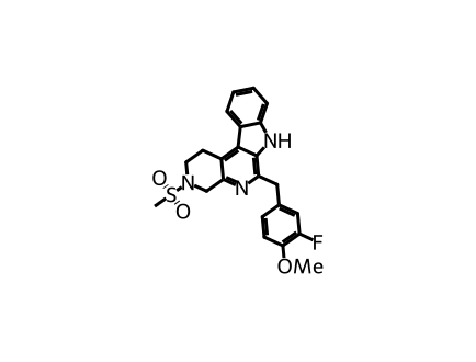 COc1ccc(Cc2nc3c(c4c2[nH]c2ccccc24)CCN(S(C)(=O)=O)C3)cc1F